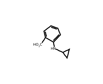 O=C(O)c1ccccc1NC1CC1